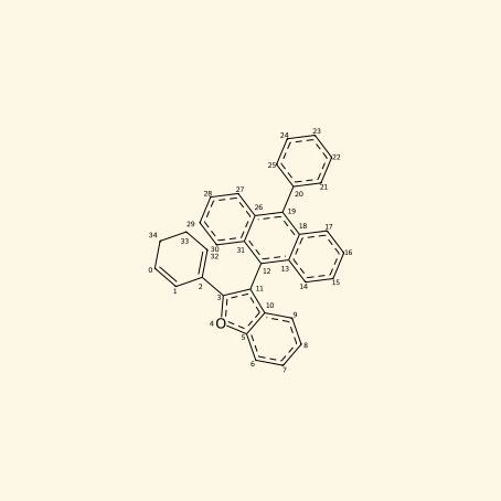 C1=CC(c2oc3ccccc3c2-c2c3ccccc3c(-c3ccccc3)c3ccccc23)=CCC1